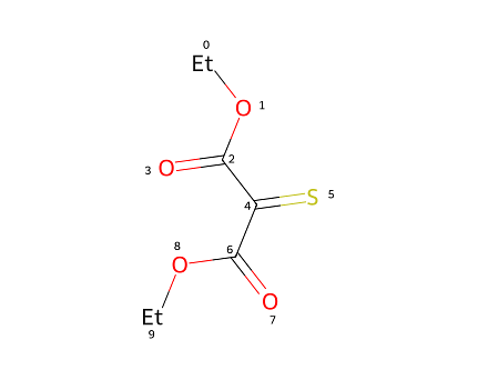 CCOC(=O)C(=S)C(=O)OCC